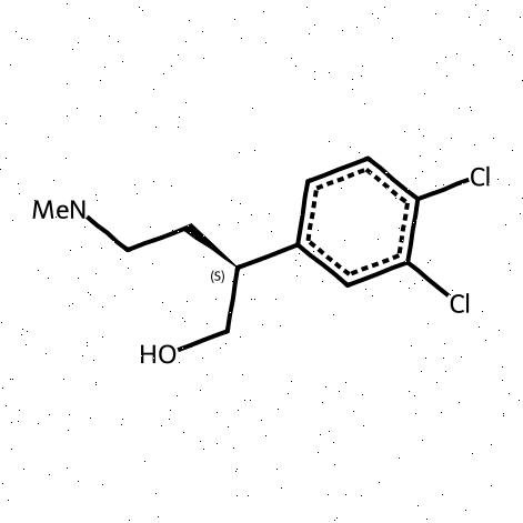 CNCC[C@H](CO)c1ccc(Cl)c(Cl)c1